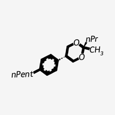 CCCCCc1ccc([C@H]2CO[C@](C)(CCC)OC2)cc1